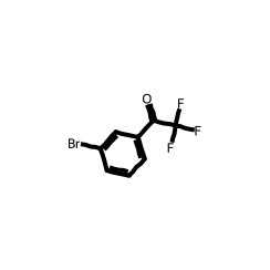 O=C(c1cccc(Br)c1)C(F)(F)F